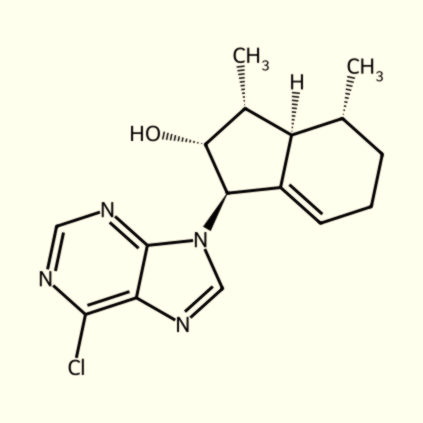 C[C@H]1[C@@H](O)[C@H](n2cnc3c(Cl)ncnc32)C2=CCC[C@@H](C)[C@@H]21